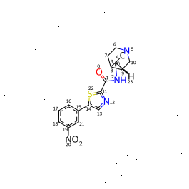 O=C(N[C@H]1CN2CCC1CC2)c1ncc(-c2cccc([N+](=O)[O-])c2)s1